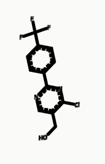 OCc1cnc(-c2ccc(C(F)(F)F)cc2)nc1Cl